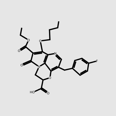 CCCCOc1c(C(=O)OCC)c(=O)n2c3c(c(Cc4ccc(F)cc4)cnc13)OC(C(=O)O)C2